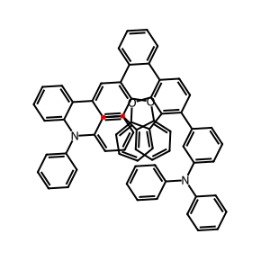 c1ccc(N(c2ccccc2)c2cccc(-c3ccc(-c4ccccc4-c4cc(-c5ccccc5N(c5ccccc5)c5ccccc5)cc5c4oc4ccccc45)c4oc5ccccc5c34)c2)cc1